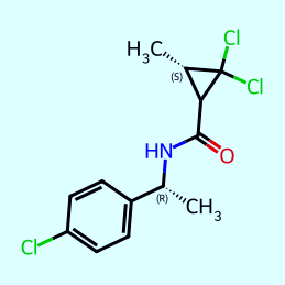 C[C@@H](NC(=O)C1[C@H](C)C1(Cl)Cl)c1ccc(Cl)cc1